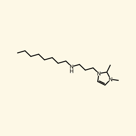 CCCCCCCCNCCCN1C=CN(C)C1C